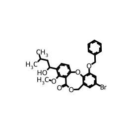 COc1c(C(O)CC(C)C)ccc2c1C(=O)OCc1cc(Br)cc(OCc3ccccc3)c1O2